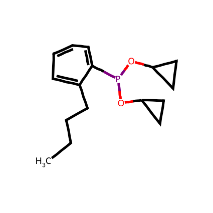 CCCCc1ccccc1P(OC1CC1)OC1CC1